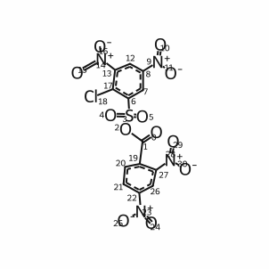 O=C(OS(=O)(=O)c1cc([N+](=O)[O-])cc([N+](=O)[O-])c1Cl)c1ccc([N+](=O)[O-])cc1[N+](=O)[O-]